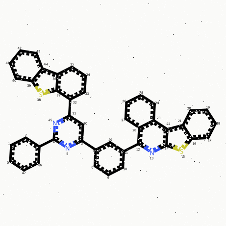 c1ccc(-c2nc(-c3cccc(-c4nc5sc6ccccc6c5c5ccccc45)c3)cc(-c3cccc4c3sc3ccccc34)n2)cc1